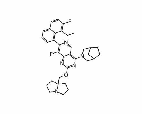 CCc1c(F)ccc2cccc(-c3ncc4c(N5CC6CCC(C6)C5)nc(OCC56CCCN5CCC6)nc4c3F)c12